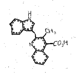 Cc1c(-c2c[nH]c3ccccc23)nc2ccccc2c1C(=O)O